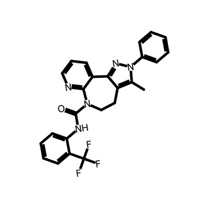 Cc1c2c(nn1-c1ccccc1)-c1cccnc1N(C(=O)Nc1ccccc1C(F)(F)F)CC2